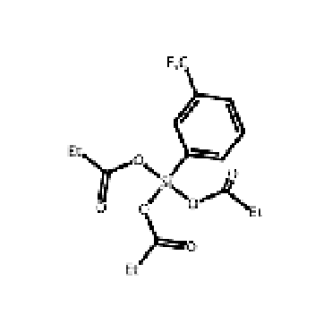 CCC(=O)O[Si](OC(=O)CC)(OC(=O)CC)c1cccc(C(F)(F)F)c1